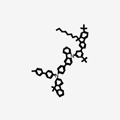 CCCCCCCCC1(C)c2cc(-c3cc(-n4c5ccccc5c5cc(-c6ccc(N(c7ccc(-c8ccc(C)cc8)cc7)c7ccc8c(c7)C(C)(C)c7ccccc7-8)cc6)ccc54)cc(C(C)(C)C)c3)ccc2-c2ccc(C(C)(C)C)cc21